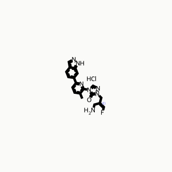 Cc1ccc(-c2ccc3cn[nH]c3c2)nc1-n1cnn(C/C(=C/F)CN)c1=O.Cl